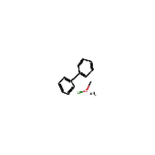 COCl.[SiH4].c1ccc(-c2ccccc2)cc1